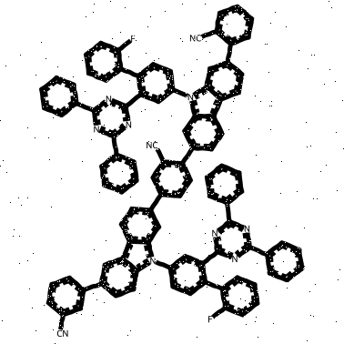 N#Cc1cccc(-c2ccc3c(c2)c2ccc(-c4ccc(-c5ccc6c7ccc(-c8ccccc8C#N)cc7n(-c7ccc(-c8ccccc8F)c(-c8nc(-c9ccccc9)nc(-c9ccccc9)n8)c7)c6c5)c(C#N)c4)cc2n3-c2ccc(-c3ccccc3F)c(-c3nc(-c4ccccc4)nc(-c4ccccc4)n3)c2)c1